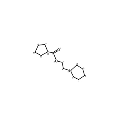 O=C(OCCN1CCCCC1)C1CCCC1